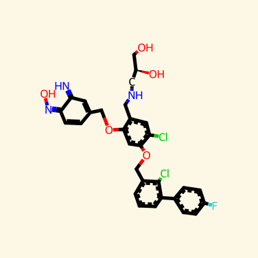 N=C1C=C(COc2cc(OCc3cccc(-c4ccc(F)cc4)c3Cl)c(Cl)cc2CNC[C@H](O)CO)C=C/C1=N/O